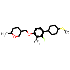 CCSC1CCC(c2ccc(OCC3CCC(C)OC3)c(C(F)(F)F)c2F)CC1